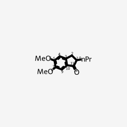 CCCC1Cc2cc(OC)c(OC)cc2C1=O